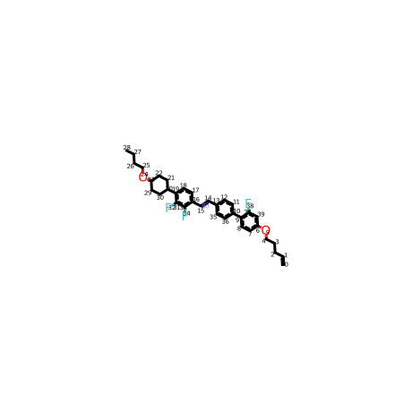 C=CCCCOc1ccc(-c2ccc(/C=C/c3ccc(C4CCC(OCCCC)CC4)c(F)c3F)cc2)c(F)c1